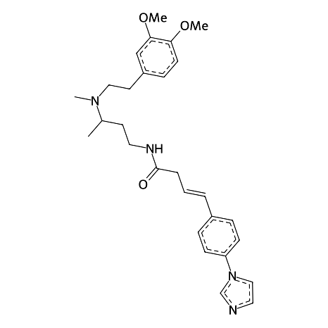 COc1ccc(CCN(C)C(C)CCNC(=O)C/C=C/c2ccc(-n3ccnc3)cc2)cc1OC